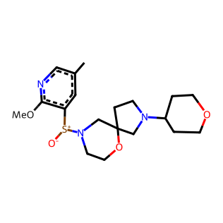 COc1ncc(C)cc1[S+]([O-])N1CCOC2(CCN(C3CCOCC3)C2)C1